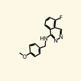 COc1ccc(CNc2nncc3c(F)cccc23)cc1